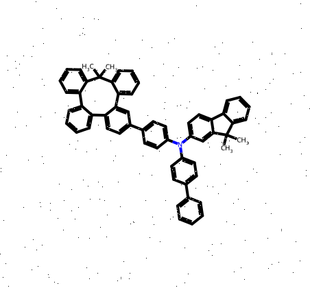 CC1(C)c2ccccc2-c2ccccc2-c2ccc(-c3ccc(N(c4ccc(-c5ccccc5)cc4)c4ccc5c(c4)C(C)(C)c4ccccc4-5)cc3)cc2-c2ccccc21